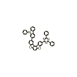 c1ccc(-c2nc(-c3ccccc3)nc(-c3ccc4c(c3)oc3ccc5oc6ccc(-c7ccc8c9ccccc9n(-c9ccccc9)c8c7)cc6c5c34)n2)cc1